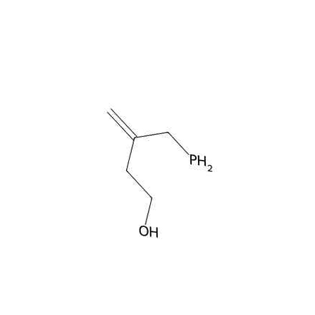 C=C(CP)CCO